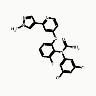 Cn1cc(-c2cc(Oc3cccc(F)c3N(C(N)=O)c3cc(Cl)cc(Cl)c3)ccn2)cn1